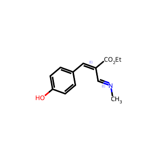 CCOC(=O)C(/C=N/C)=C/c1ccc(O)cc1